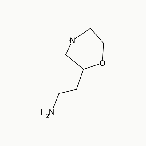 NCCC1C[N]CCO1